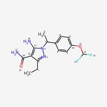 CCc1nn(C(C)c2ccc(OC(F)F)cc2)c(N)c1C(N)=O